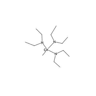 CC[N](CC)[Ge]([CH3])([N](CC)CC)[N](CC)CC